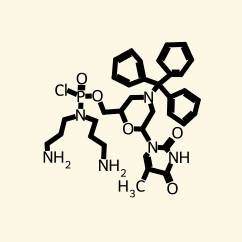 Cc1cn(C2CN(C(c3ccccc3)(c3ccccc3)c3ccccc3)CC(COP(=O)(Cl)N(CCCN)CCCN)O2)c(=O)[nH]c1=O